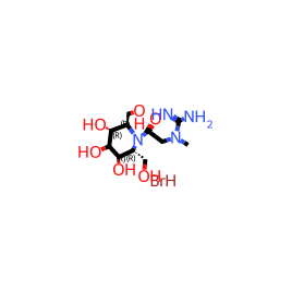 Br.CN(CC(=O)N1[C@H](CO)[C@@H](O)C(O)[C@H](O)[C@H]1CO)C(=N)N